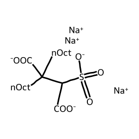 CCCCCCCCC(CCCCCCCC)(C(=O)[O-])C(C(=O)[O-])S(=O)(=O)[O-].[Na+].[Na+].[Na+]